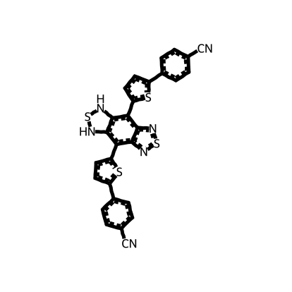 N#Cc1ccc(-c2ccc(-c3c4c(c(-c5ccc(-c6ccc(C#N)cc6)s5)c5nsnc35)NSN4)s2)cc1